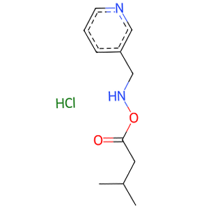 CC(C)CC(=O)ONCc1cccnc1.Cl